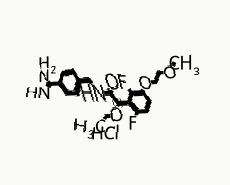 CCO[C@H](C(=O)NCc1ccc(C(=N)N)cc1)c1c(F)ccc(OCCOC)c1F.Cl